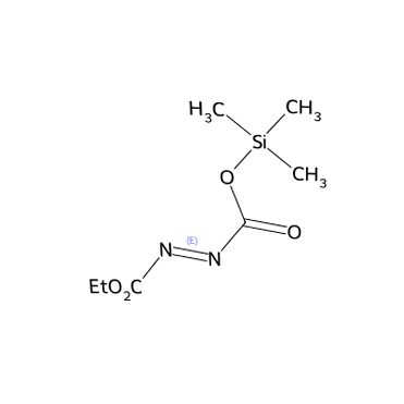 CCOC(=O)/N=N/C(=O)O[Si](C)(C)C